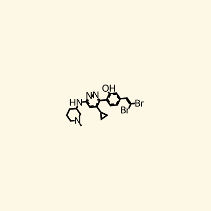 CN1CCCC(Nc2cc(C3CC3)c(-c3ccc(C=C(Br)Br)cc3O)nn2)C1